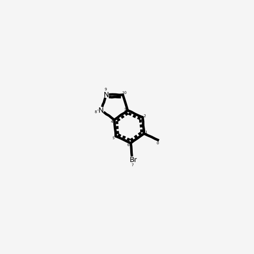 Cc1cc2c(cc1Br)[N]N=C2